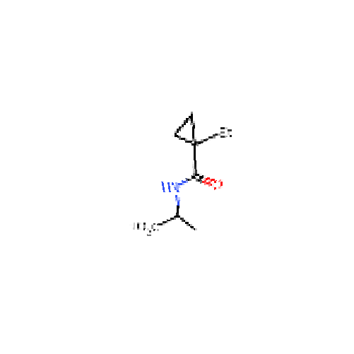 CCC1(C(=O)NC(C)C(=O)O)CC1